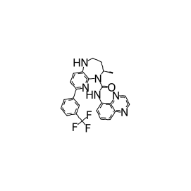 C[C@@H]1CCNc2ccc(-c3cccc(C(F)(F)F)c3)nc2N1C(=O)Nc1cccc2nccnc12